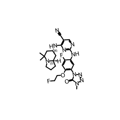 Cn1nnn(-c2cc(Nc3ncc(C#N)c(N[C@@H]4C[C@@H]5CCCN5C(C)(C)C4)n3)c(F)cc2OCCF)c1=O